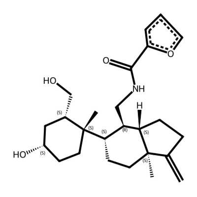 C=C1CC[C@H]2[C@H](CNC(=O)c3ccco3)[C@@H]([C@]3(C)CC[C@H](O)C[C@@H]3CO)CC[C@]12C